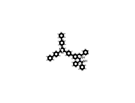 N=C(/C(=C1\NC(c2ccccc2)=Cc2cc(-c3ccc(-c4cc(-c5ccc(-c6ccccc6)cc5)nc(-c5ccc(-c6ccccc6)cc5)n4)cc3)ccc21)c1ccccc1)c1ccccc1